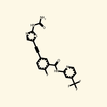 NC(=O)Nc1ncc(C#Cc2ccc(F)c(C(=O)Nc3cc(C(F)(F)F)ccn3)c2)s1